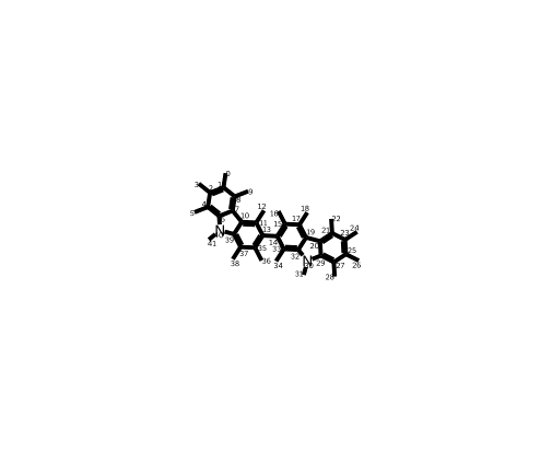 Cc1c(C)c(C)c2c(c1C)c1c(C)c(-c3c(C)c(C)c4c5c(C)c(C)c(C)c(C)c5n(C)c4c3C)c(C)c(C)c1n2C